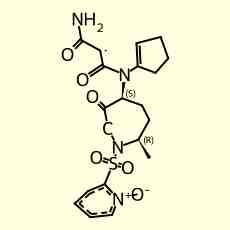 C[C@@H]1CC[C@H](N(C(=O)[CH]C(N)=O)C2=CCCC2)C(=O)CN1S(=O)(=O)c1cccc[n+]1[O-]